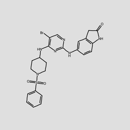 O=C1Cc2cc(Nc3ncc(Br)c(NC4CCN(S(=O)(=O)c5ccccc5)CC4)n3)ccc2N1